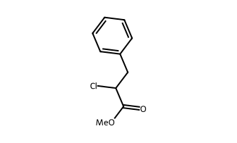 COC(=O)C(Cl)Cc1ccccc1